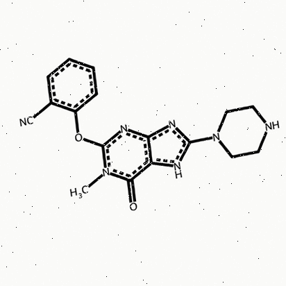 Cn1c(Oc2ccccc2C#N)nc2nc(N3CCNCC3)[nH]c2c1=O